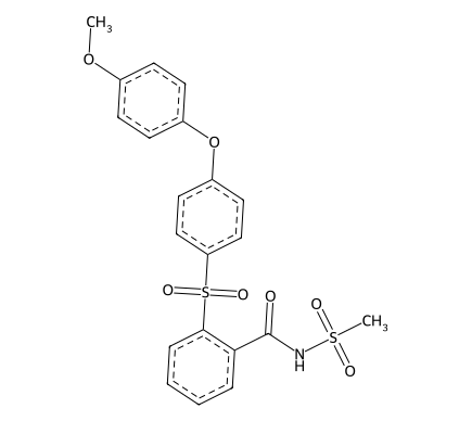 COc1ccc(Oc2ccc(S(=O)(=O)c3ccccc3C(=O)NS(C)(=O)=O)cc2)cc1